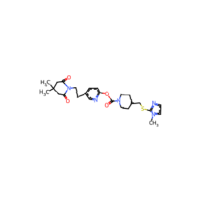 Cn1ccnc1SCC1CCN(C(=O)Oc2ccc(CCN3C(=O)CC(C)(C)CC3=O)cn2)CC1